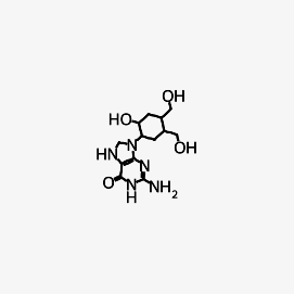 Nc1nc2c(c(=O)[nH]1)NCN2C1CC(CO)C(CO)CC1O